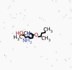 CCCC(C)COc1ccc(C(N)C(C)(C)O)nc1